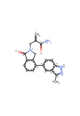 C=C(CN1Cc2c(cccc2-c2ccc3[nH]nc(C)c3c2)C1=O)C(N)=O